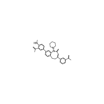 C=C(C)c1cccc(/C2=C/C(=C)N(N3CCCCC3)c3cc(-c4ccc(NC)c(C(=C)C)c4)ccc3CC2)c1